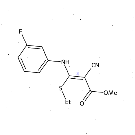 CCS/C(Nc1cccc(F)c1)=C(/C#N)C(=O)OC